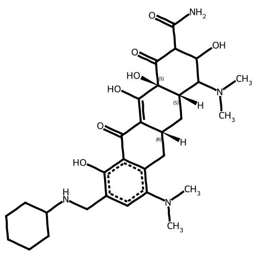 CN(C)c1cc(CNC2CCCCC2)c(O)c2c1C[C@H]1C[C@H]3C(N(C)C)C(O)C(C(N)=O)C(=O)[C@@]3(O)C(O)=C1C2=O